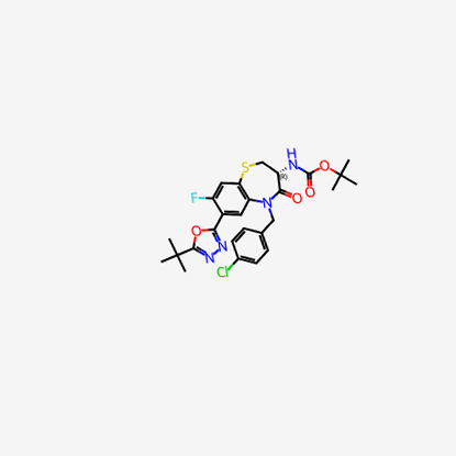 CC(C)(C)OC(=O)N[C@H]1CSc2cc(F)c(-c3nnc(C(C)(C)C)o3)cc2N(Cc2ccc(Cl)cc2)C1=O